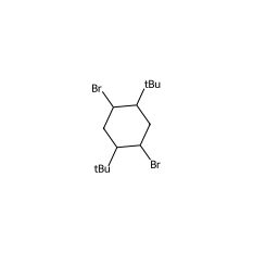 CC(C)(C)C1CC(Br)C(C(C)(C)C)CC1Br